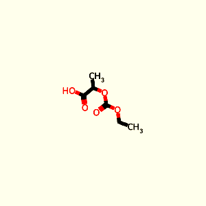 CCOC(=O)OC(C)C(=O)O